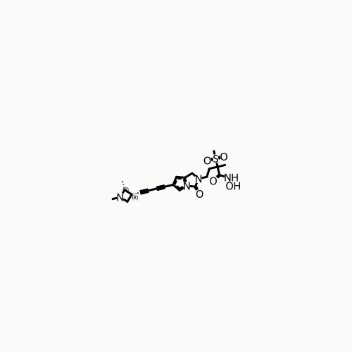 C[C@@H]1[C@H](C#CC#Cc2cc3n(c2)C(=O)N(CCC(C)(C(=O)NO)S(C)(=O)=O)C3)CN1C